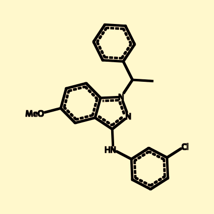 COc1ccc2c(c1)c(Nc1cccc(Cl)c1)nn2C(C)c1ccccc1